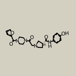 O=C(Nc1ccc(O)cc1)[C@@H]1CCN(CC(=O)N2CCN(C(=O)c3ccco3)CC2)C1